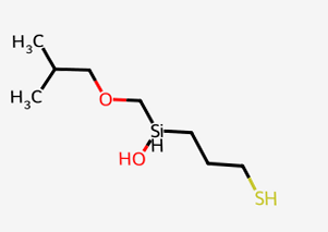 CC(C)COC[SiH](O)CCCS